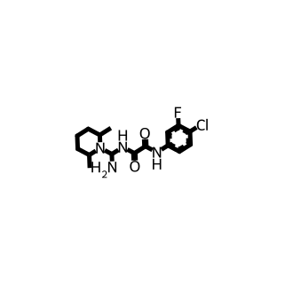 CC1CCCC(C)N1C(N)NC(=O)C(=O)Nc1ccc(Cl)c(F)c1